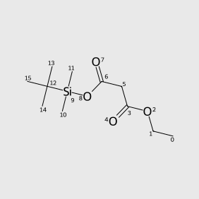 CCOC(=O)CC(=O)O[Si](C)(C)C(C)(C)C